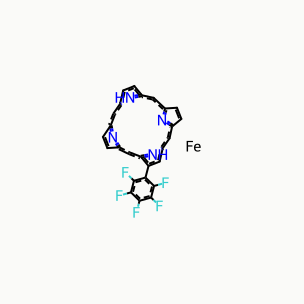 Fc1c(F)c(F)c(-c2cc3cc4nc(cc5ccc(cc6nc(cc2[nH]3)C=C6)[nH]5)C=C4)c(F)c1F.[Fe]